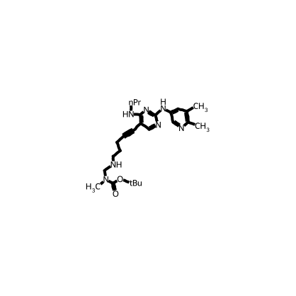 CCCNc1nc(Nc2cnc(C)c(C)c2)ncc1C#CCCCNCN(C)C(=O)OC(C)(C)C